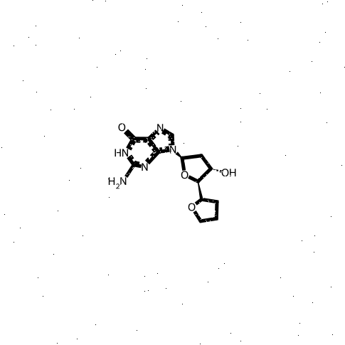 Nc1nc2c(ncn2[C@H]2C[C@H](O)[C@@H](C3CCCO3)O2)c(=O)[nH]1